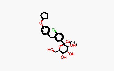 CO[C@@]1(c2ccc(Cl)c(Cc3ccc(OC4CCCC4)cc3)c2)O[C@H](CO)[C@@H](O)[C@H](O)[C@H]1O